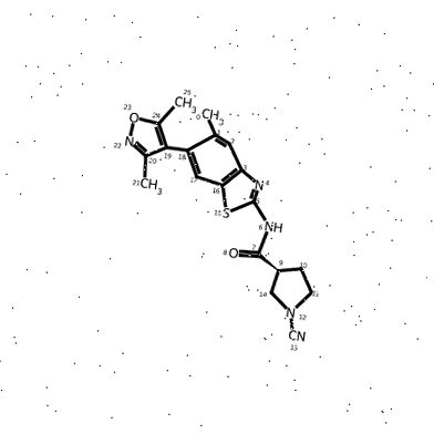 Cc1cc2nc(NC(=O)[C@H]3CCN(C#N)C3)sc2cc1-c1c(C)noc1C